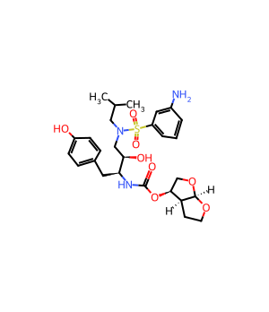 CC(C)CN(C[C@@H](O)[C@H](Cc1ccc(O)cc1)NC(=O)O[C@H]1CO[C@H]2OCC[C@H]21)S(=O)(=O)c1cccc(N)c1